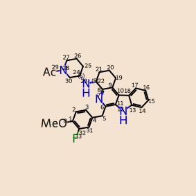 COc1ccc(Cc2nc3c(c4c2[nH]c2ccccc24)CCC[C@@H]3N[C@H]2CCCN(C(C)=O)C2)cc1F